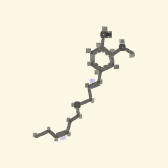 CC/C=C\CCOC/C=C/c1ccc(O)c(OC)c1